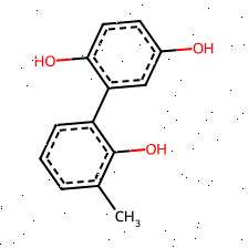 Cc1cccc(-c2cc(O)ccc2O)c1O